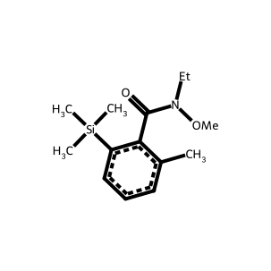 CCN(OC)C(=O)c1c(C)cccc1[Si](C)(C)C